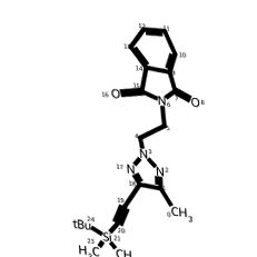 Cc1nn(CCN2C(=O)c3ccccc3C2=O)nc1C#C[Si](C)(C)C(C)(C)C